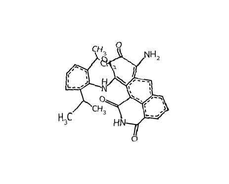 CC(C)c1cccc(C(C)C)c1NC1=c2c3c4c(cccc4cc2=C(N)C(=O)C1=O)C(=O)NC3=O